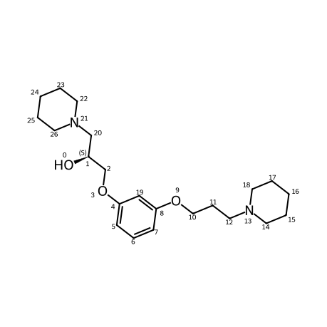 O[C@H](COc1cccc(OCCCN2CCCCC2)c1)CN1CCCCC1